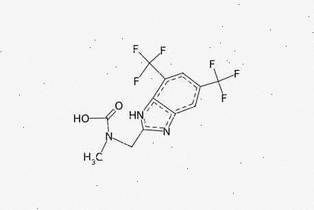 CN(Cc1nc2cc(C(F)(F)F)cc(C(F)(F)F)c2[nH]1)C(=O)O